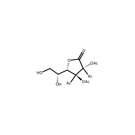 CC(=O)O[C@@]1(C(C)=O)C(=O)O[C@@H]([C@H](O)CO)[C@@]1(OC(C)=O)C(C)=O